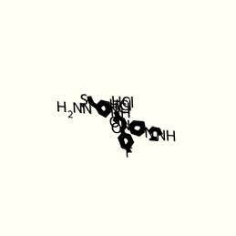 Cl.Cl.Cl.Nc1nc(-c2ccc(NC(=O)CN(C(=O)c3ccc(F)cc3)c3ccc(N4CCNCC4)cc3)cc2)cs1